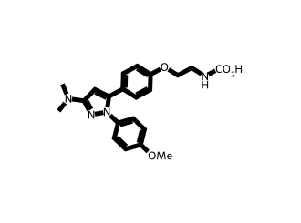 COc1ccc(-n2nc(N(C)C)cc2-c2ccc(OCCNC(=O)O)cc2)cc1